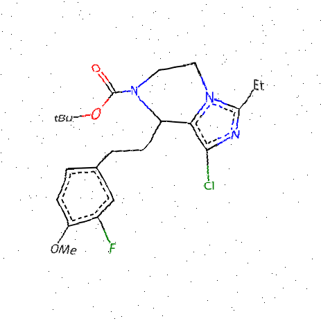 CCc1nc(Cl)c2n1CCN(C(=O)OC(C)(C)C)C2CCc1ccc(OC)c(F)c1